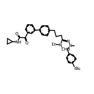 CCN(C=O)/C(CCCc1ccc(-c2cccc(C(=O)C(=O)NC3CC3)c2)cc1)=N\N(C)Cc1ccc(C(C)(C)C)cc1